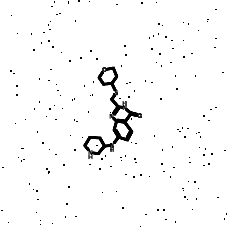 O=c1[nH]c(CSC2CCOCC2)nc2cc(NC3CCCNC3)ccc12